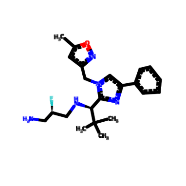 Cc1cc(Cn2cc(-c3ccccc3)nc2[C@H](NC[C@@H](F)CN)C(C)(C)C)no1